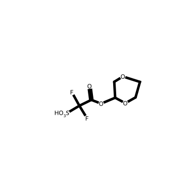 O=C(OC1COCCO1)C(F)(F)S(=O)(=O)O